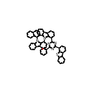 c1ccc(-c2nc(-c3cccc4c3sc3ccccc34)nc(-c3cccc4c5ccccc5n(-c5cccc6c7ccccc7n(-c7cccc8ccccc78)c56)c34)n2)cc1